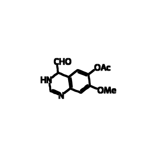 COc1cc2c(cc1OC(C)=O)C(C=O)NC=N2